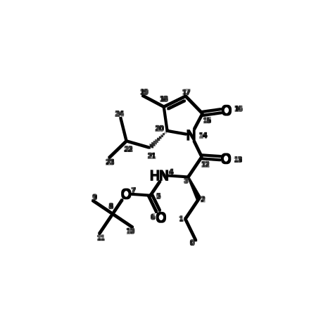 CCC[C@@H](NC(=O)OC(C)(C)C)C(=O)N1C(=O)C=C(C)[C@H]1CC(C)C